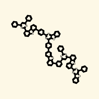 c1ccc(-c2cc(-c3ccccc3)nc(-c3cccc4sc5c(-c6ccc(-c7nc(-c8ccc(-c9ccc%10c(c9)sc9c(-c%11cccc(-c%12cc(-c%13cccc%14sc%15c(-c%16nc(-c%17ccccc%17)c%17oc%18ccccc%18c%17n%16)cccc%15c%13%14)nc(-c%13ccccc%13)n%12)c%11)cccc9%10)cc8)c8oc9ccccc9c8n7)cc6)cccc5c34)n2)cc1